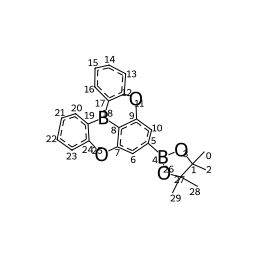 CC1(C)OB(c2cc3c4c(c2)Oc2ccccc2B4c2ccccc2O3)OC1(C)C